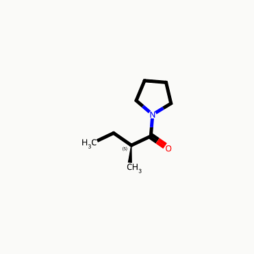 CC[C@H](C)C(=O)N1CCCC1